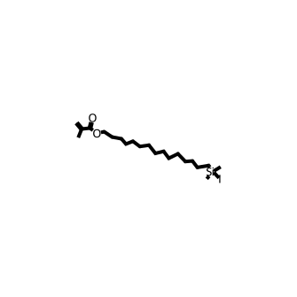 C=C(C)C(=O)OCCCCCCCCCCCCCCC[Si](C)(C)I